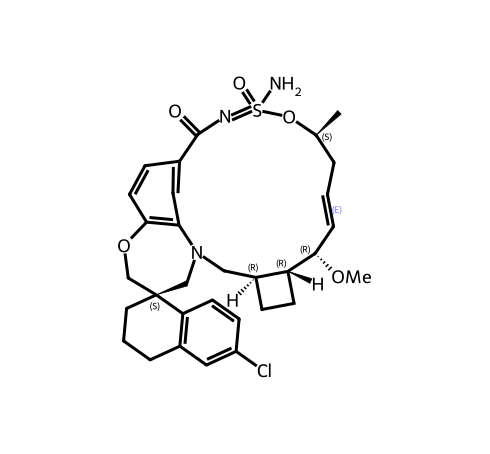 CO[C@H]1/C=C/C[C@H](C)OS(N)(=O)=NC(=O)c2ccc3c(c2)N(C[C@@H]2CC[C@H]21)C[C@@]1(CCCc2cc(Cl)ccc21)CO3